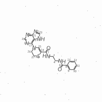 O=C(NCCNC(=O)c1ccccc1)C1=CN(c2ncnc3nc[nH]c23)CCS1